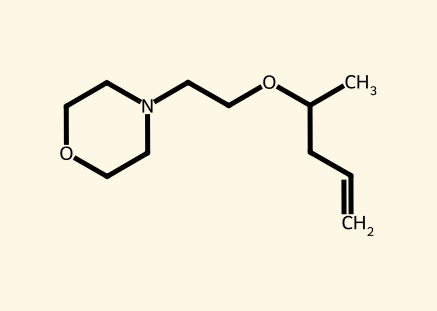 C=CCC(C)OCCN1CCOCC1